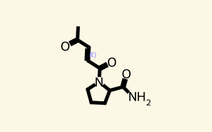 CC(=O)/C=C/C(=O)N1CCCC1C(N)=O